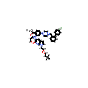 COC(=O)c1ccc(N2CCN(CC3=C(c4ccc(Cl)cc4)CCCC3)CC2)cc1N1CCCOc2nc3c(ccn3CCOCC[Si](C)(C)C)cc21